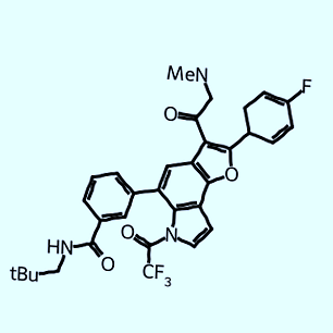 CNCC(=O)c1c(C2C=CC(F)=CC2)oc2c1cc(-c1cccc(C(=O)NCC(C)(C)C)c1)c1c2ccn1C(=O)C(F)(F)F